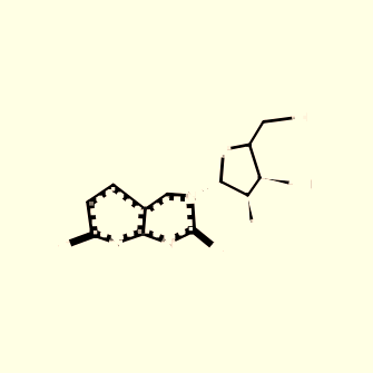 O=c1ccc2cn([C@@H]3OC(CO)[C@@H](O)[C@H]3F)c(=O)nc2[nH]1